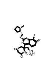 CN1CCC[C@H]1COc1nc(C2(CC#N)CNCC(Cl)N2C(=O)O)c2ccc(Br)c(F)c2n1